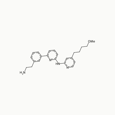 COCCCCc1ccnc(Nc2cccc(-c3cccc(CCN)c3)n2)c1